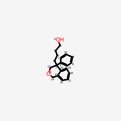 OCCCCC1(c2ccccc2)COCc2ccccc21